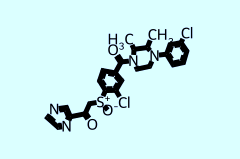 CC1C(C)N(c2cccc(Cl)c2)CCN1C(=O)c1ccc([S+]([O-])CC(=O)c2cnccn2)c(Cl)c1